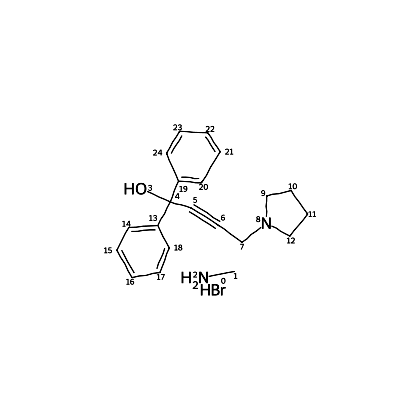 Br.CN.OC(C#CCN1CCCC1)(c1ccccc1)c1ccccc1